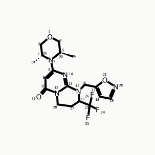 C[C@@H]1COC[C@@H](C)N1c1cc(=O)n2c(n1)N(Cc1ccno1)C(C(F)(F)F)CC2